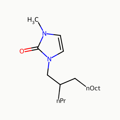 CCCCCCCCCC(CCC)Cn1ccn(C)c1=O